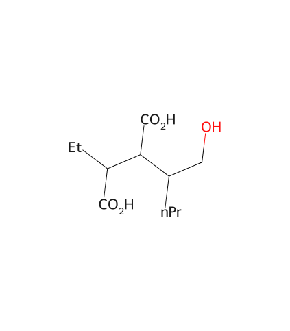 CCCC(CO)C(C(=O)O)C(CC)C(=O)O